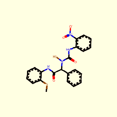 CSc1ccccc1NC(=O)C(c1ccccc1)N(S)C(=O)Nc1ccccc1[N+](=O)[O-]